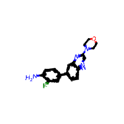 Nc1ccc(-c2ccc3ncc(N4CCOCC4)nc3c2)cc1F